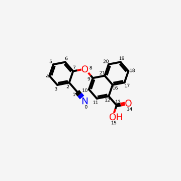 N#Cc1ccccc1Oc1ccc(C(=O)O)c2ccccc12